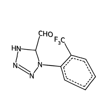 O=CC1NN=NN1c1ccccc1C(F)(F)F